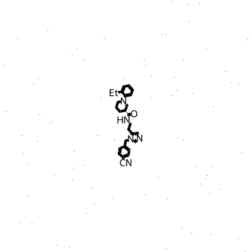 CCc1ccccc1N1CCC[C@@H](C(=O)NCCc2cncn2Cc2ccc(C#N)cc2)C1